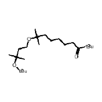 CC(C)(C)OC(C)(C)CCOC(C)(C)CCCCCC(=O)C(C)(C)C